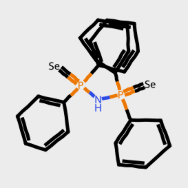 [Se]=P(NP(=[Se])(c1ccccc1)c1ccccc1)(c1ccccc1)c1ccccc1